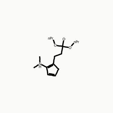 CCCOC([O])(CCC1=C([SiH](C)C)C=CC1)OCCC